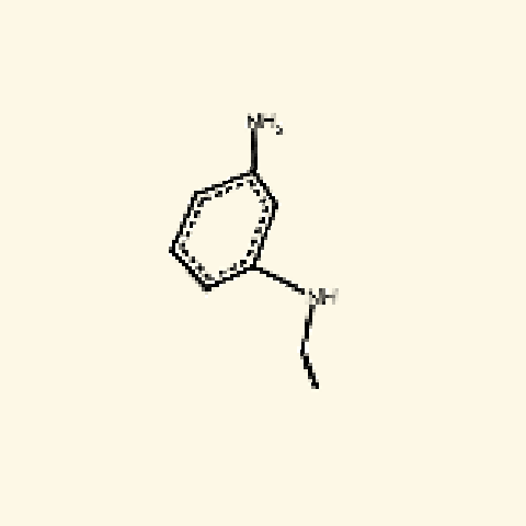 CCNc1[c]ccc(N)c1